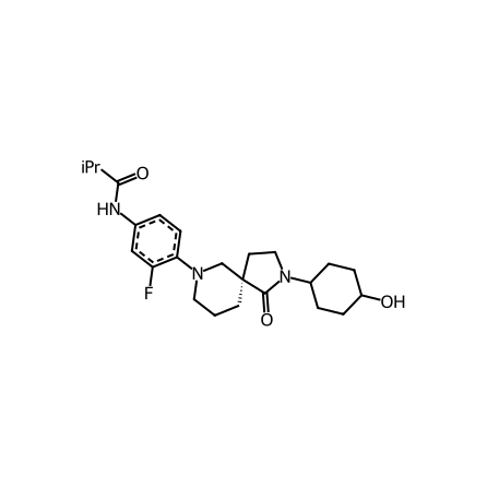 CC(C)C(=O)Nc1ccc(N2CCC[C@@]3(CCN(C4CCC(O)CC4)C3=O)C2)c(F)c1